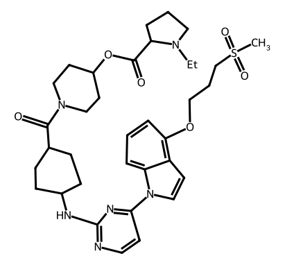 CCN1CCCC1C(=O)OC1CCN(C(=O)C2CCC(Nc3nccc(-n4ccc5c(OCCCS(C)(=O)=O)cccc54)n3)CC2)CC1